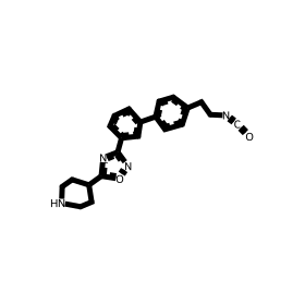 O=C=NCCc1ccc(-c2cccc(-c3noc(C4CCNCC4)n3)c2)cc1